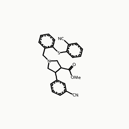 COC(=O)C1CN(Cc2ccccc2Sc2ccccc2C#N)CC1c1cccc(C#N)c1